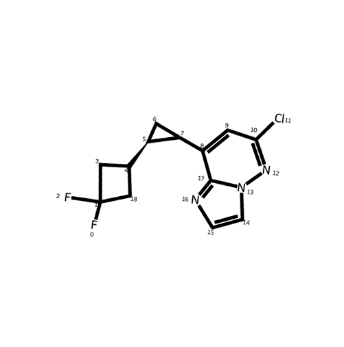 FC1(F)CC([C@H]2CC2c2cc(Cl)nn3ccnc23)C1